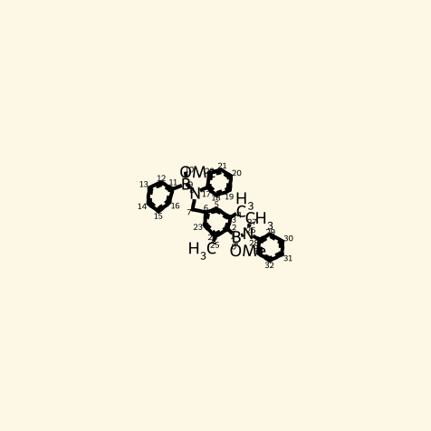 COB(c1c(C)cc(CN(B(OC)c2ccccc2)c2ccccc2)cc1C)N(C)c1ccccc1